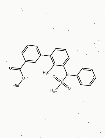 Cc1c(-c2cccc(C(=O)OC(C)(C)C)c2)cccc1N(c1ccccc1)S(C)(=O)=O